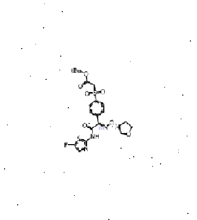 CC(C)(C)OC(=O)CS(=O)(=O)c1ccc(/C(=N\O[C@@H]2CCOC2)C(=O)Nc2ncc(F)s2)cc1